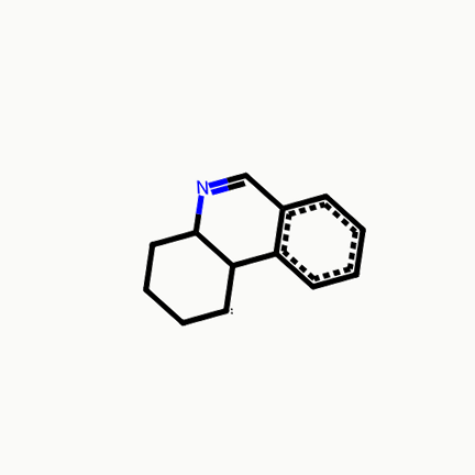 [C]1CCCC2N=Cc3ccccc3C12